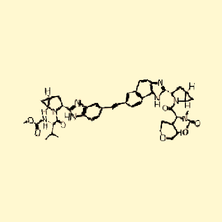 COC(=O)N[C@H](C(=O)N1[C@@H]2C[C@H]2C[C@H]1c1nc2cc(C#Cc3ccc4c(ccc5nc([C@@H]6C[C@H]7C[C@H]7N6C(=O)[C@H](C6CCOCC6)N(C)C(=O)O)[nH]c54)c3)ccc2[nH]1)C(C)C